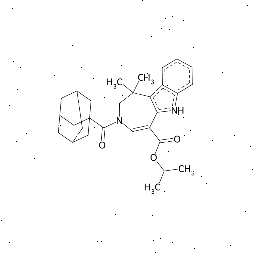 CC(C)OC(=O)C1=CN(C(=O)C23CC4CC(CC(C4)C2)C3)CC(C)(C)c2c1[nH]c1ccccc21